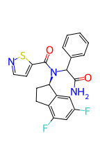 NC(=O)C(c1ccccc1)N(C(=O)c1ccns1)[C@@H]1CCc2c(F)cc(F)cc21